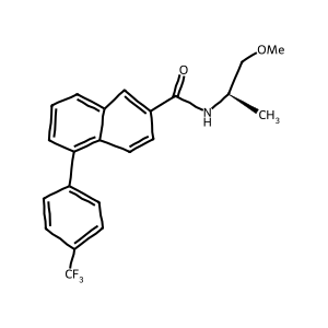 COC[C@@H](C)NC(=O)c1ccc2c(-c3ccc(C(F)(F)F)cc3)cccc2c1